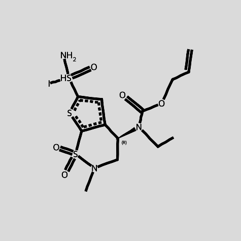 C=CCOC(=O)N(CC)[C@H]1CN(C)S(=O)(=O)c2sc([SH](N)(=O)I)cc21